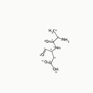 CC(N)C(=O)NC(C=O)CC(=O)O